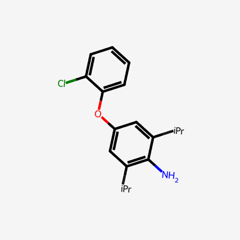 CC(C)c1cc(Oc2ccccc2Cl)cc(C(C)C)c1N